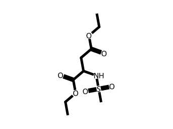 CCOC(=O)CC(NS(C)(=O)=O)C(=O)OCC